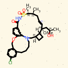 CO[C@@]1(C[C@@H](C)O)/C=C/C[C@H](C)[C@@H](C)S(=O)(=O)NC(=O)c2ccc3c(c2)N(CCCCc2cc(Cl)ccc2CO3)C[C@@H]2CC[C@H]21